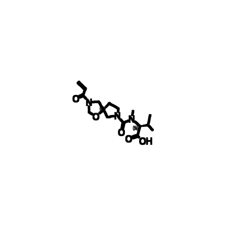 C=CC(=O)N1CO[C@]2(CCN(C(=O)N(C)[C@H](C(=O)O)C(C)C)C2)C1